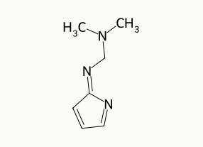 CN(C)CN=C1C=CC=N1